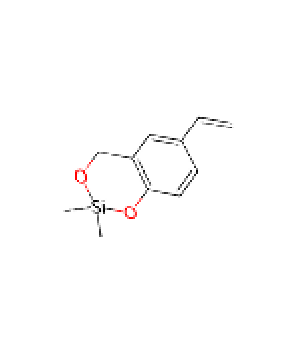 C=Cc1ccc2c(c1)CO[Si](C)(C)O2